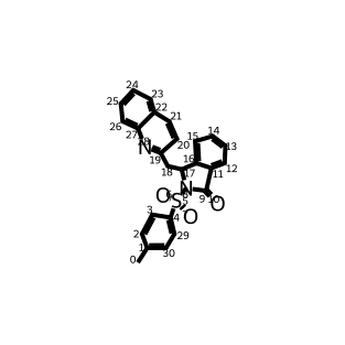 Cc1ccc(S(=O)(=O)N2C(=O)c3ccccc3C2Cc2ccc3ccccc3n2)cc1